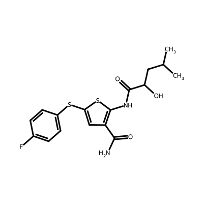 CC(C)CC(O)C(=O)Nc1sc(Sc2ccc(F)cc2)cc1C(N)=O